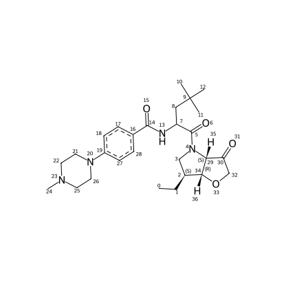 CC[C@H]1CN(C(=O)C(CC(C)(C)C)NC(=O)c2ccc(N3CCN(C)CC3)cc2)[C@@H]2C(=O)CO[C@H]12